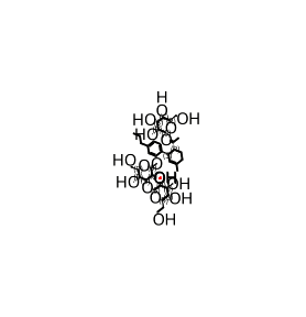 C=C(C)[C@@H]1CCC(C)=C[C@H]1c1c(O[C@@H]2O[C@H](CO)[C@@H](O)[C@H](O)[C@H]2O)cc(CCC)cc1O[C@@H]1O[C@H](CO)[C@@H](O)[C@H](O[C@@H]2O[C@H](CCO)[C@@H](O)[C@H](O)[C@H]2O)[C@H]1O